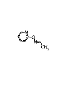 CC=NOc1ccccn1